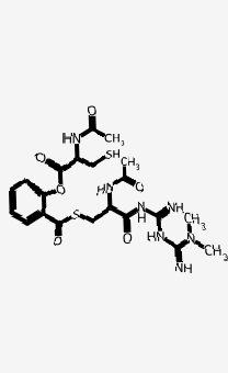 CC(=O)NC(CSC(=O)c1ccccc1OC(=O)C(CS)NC(C)=O)C(=O)NC(=N)NC(=N)N(C)C